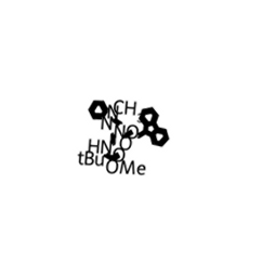 COC(=O)[C@@H](NCCN(Cc1nc2ccccc2n1C)C(=O)OCC1c2ccccc2-c2ccccc21)C(C)(C)C